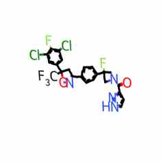 O=C(c1cc[nH]n1)N1CC(F)(c2ccc(C3=NOC(c4cc(Cl)c(F)c(Cl)c4)(C(F)(F)F)C3)cc2)C1